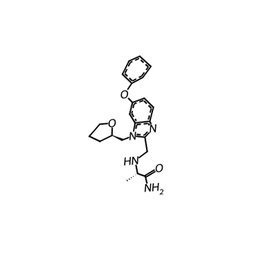 C[C@H](NCc1nc2ccc(Oc3ccccc3)cc2n1C[C@H]1CCCO1)C(N)=O